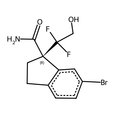 NC(=O)[C@@]1(C(F)(F)CO)CCc2ccc(Br)cc21